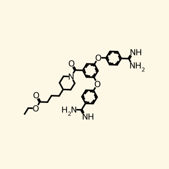 CCOC(=O)CCCC1CCN(C(=O)c2cc(Oc3ccc(C(=N)N)cc3)cc(Oc3ccc(C(=N)N)cc3)c2)CC1